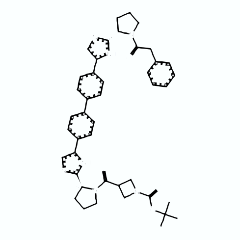 CC(C)(C)OC(=O)N1CC(C(=O)N2CCC[C@H]2c2ncc(-c3ccc(-c4ccc(-c5cnc([C@@H]6CCCN6C(=O)Cc6ccccc6)[nH]5)cc4)cc3)[nH]2)C1